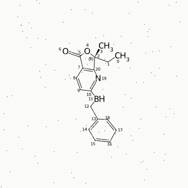 CC[C@@]1(C)OC(=O)c2ccc(BCc3ccccc3)nc21